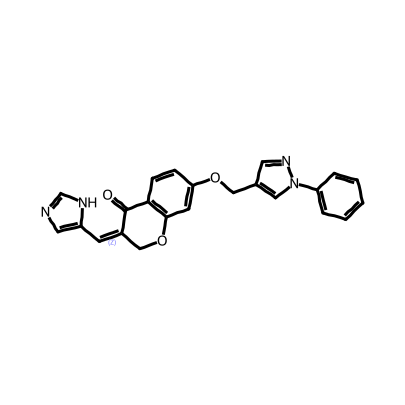 O=C1/C(=C\c2cnc[nH]2)COc2cc(OCc3cnn(-c4ccccc4)c3)ccc21